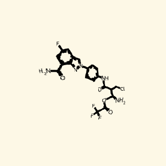 NC(=O)c1cc(F)cc2cn(-c3ccc(NC(=O)C(CCl)C(N)OC(=O)C(F)(F)F)cc3)nc12